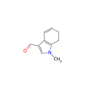 Cn1cc(C=O)c2c1CCC=C2